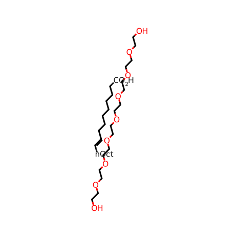 CCCCCCCCC=CCCCCCCCC(=O)O.OCCOCCOCCOCCOCCOCCOCCOCCO